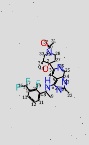 COC1(c2cc3c(NC(C)c4cccc(C(F)F)c4F)nc(C)nc3cn2)CCN(C(C)=O)CC1